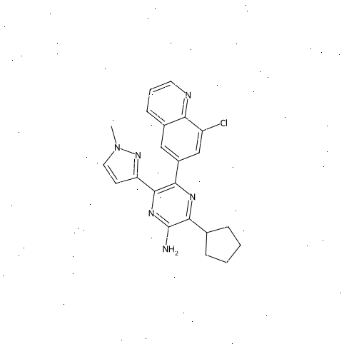 Cn1ccc(-c2nc(N)c(C3CCCC3)nc2-c2cc(Cl)c3ncccc3c2)n1